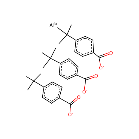 CC(C)(C)c1ccc(C(=O)[O-])cc1.CC(C)(C)c1ccc(C(=O)[O-])cc1.CC(C)(C)c1ccc(C(=O)[O-])cc1.[Al+3]